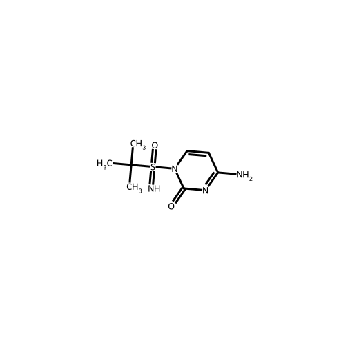 CC(C)(C)S(=N)(=O)n1ccc(N)nc1=O